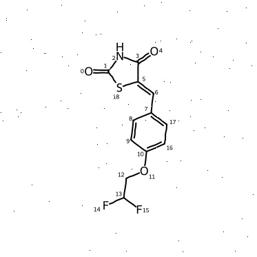 O=C1NC(=O)/C(=C/c2ccc(OCC(F)F)cc2)S1